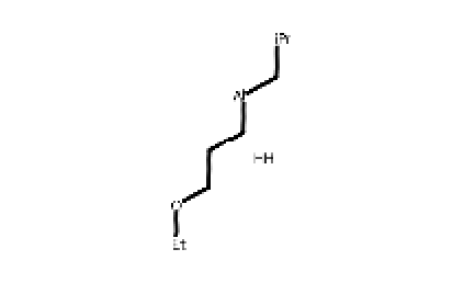 CCOCC[CH2][Al][CH2]C(C)C.[HH]